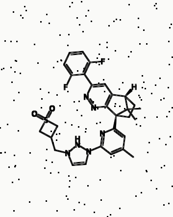 Cc1cc(N2C=CN(CC3CS(=O)(=O)C3)N2)nc([C@@]23CC[C@@H](c4cc(-c5c(F)cccc5F)nnc42)C3(C)C)c1